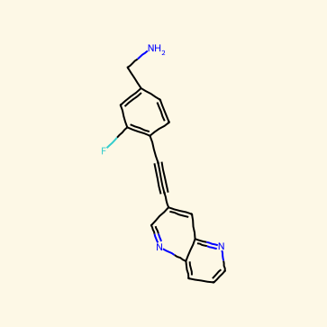 NCc1ccc(C#Cc2cnc3cccnc3c2)c(F)c1